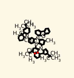 Cc1cc2c3c(c1)N(c1cccc4c1oc1ccccc14)c1cc(N4c5ccc(C(C)(C)C)cc5C5(C)CCCCC45C)ccc1B3c1cc(C(C)(C)C)ccc1N2c1ccc(C(C)(C)C)cc1-c1ccccc1